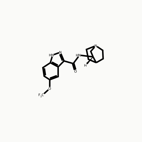 O=C(N[C@@H]1CN2CCC1CC2)c1n[nH]c2ccc(OC(F)(F)F)cc12